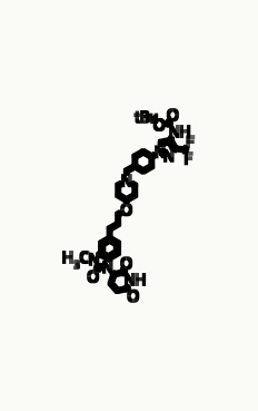 Cn1c(=O)n(C2CCC(=O)NC2=O)c2ccc(CCCOC3CCN(CC4CCC(n5cc(NC(=O)OC(C)(C)C)c(C(F)F)n5)CC4)CC3)cc21